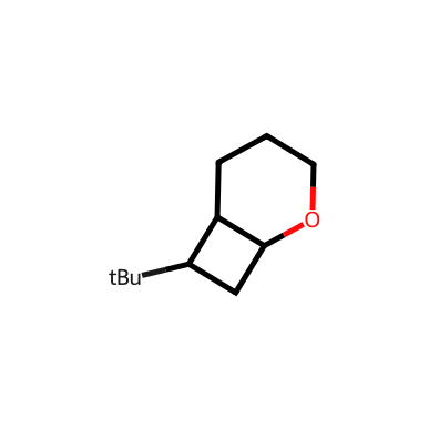 CC(C)(C)C1CC2OCCCC21